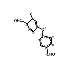 CC1C=C(Oc2ccc(C=O)cc2)C=CC1C=O